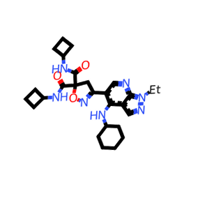 CCn1ncc2c(NC3CCCCC3)c(C3=NOC(C(=O)NC4CCC4)(C(=O)NC4CCC4)C3)cnc21